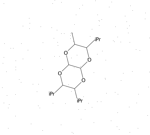 CC(C)C1OC2OC(C(C)C)C(C(C)C)OC2OC1C